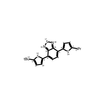 CC(C)c1ccc(-c2ccc(-c3ccc(C(C)(C)C)s3)c3nsnc23)s1